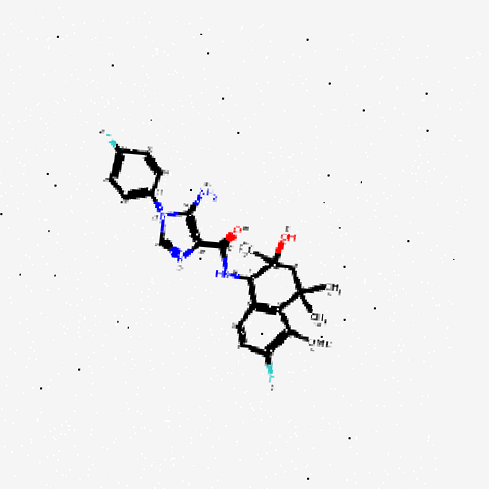 COc1c(F)ccc2c1C(C)(C)CC(O)(C(F)(F)F)C2NC(=O)c1ncn(-c2ccc(F)cc2)c1N